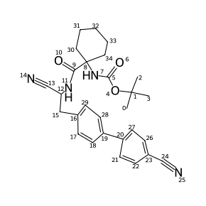 CC(C)(C)OC(=O)NC1(C(=O)NC(C#N)Cc2ccc(-c3ccc(C#N)cc3)cc2)CCCCC1